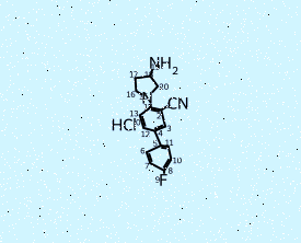 Cl.N#Cc1cc(-c2ccc(F)cc2)ccc1N1CCC(N)C1